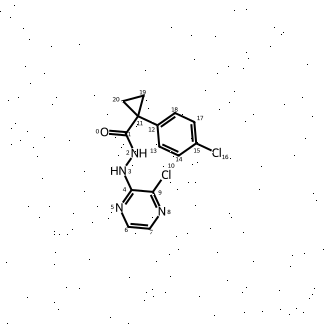 O=C(NNc1nccnc1Cl)C1(c2ccc(Cl)cc2)CC1